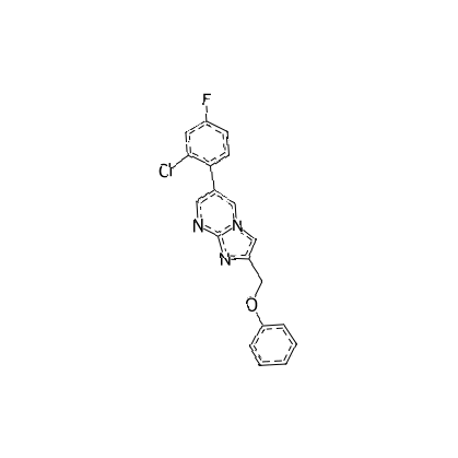 Fc1ccc(-c2cnc3nc(COc4ccccc4)cn3c2)c(Cl)c1